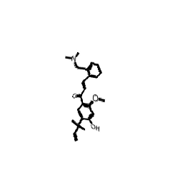 C=CC(C)(C)c1cc(C(=O)/C=C/c2ccccc2CN(C)C)c(OC)cc1O